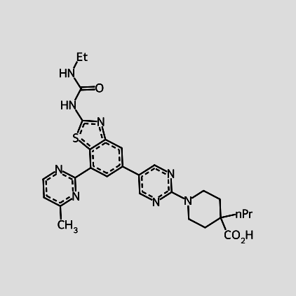 CCCC1(C(=O)O)CCN(c2ncc(-c3cc(-c4nccc(C)n4)c4sc(NC(=O)NCC)nc4c3)cn2)CC1